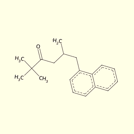 [CH2]C(CC(=O)C(C)(C)C)Cc1cccc2ccccc12